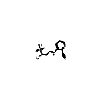 CN(CCNc1cccnc1C#N)S(C)(=O)=O